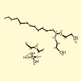 CCCCCCCCCCCCN(OCCO)OCCO.CCOCC.O=P(O)(O)O